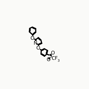 O=S(=O)(c1ccc(Oc2cccc(Oc3ccccc3)n2)cc1)C(F)(F)F